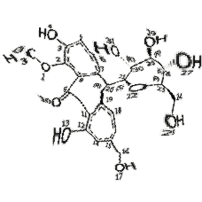 COc1c(O)ccc2c1C(=O)c1c(O)cc(CO)cc1[C@@H]2[C@@H]1O[C@H](CO)[C@@H](O)[C@H](O)[C@H]1O